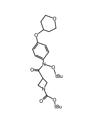 CC(C)(C)OC(=O)N1CC(C(=O)N(OC(C)(C)C)c2ccc(OC3CCOCC3)cc2)C1